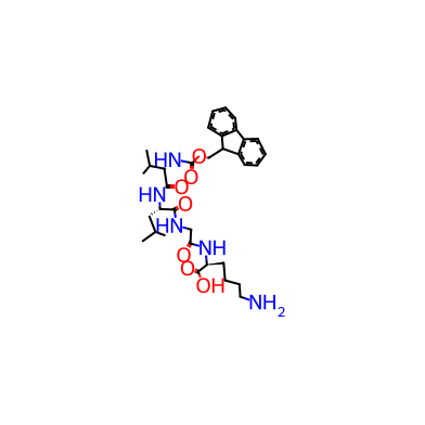 CC(C)C[C@H](NC(=O)[C@@H](NC(=O)OCC1c2ccccc2-c2ccccc21)C(C)C)C(=O)NCC(=O)N[C@@H](CCCCN)C(=O)O